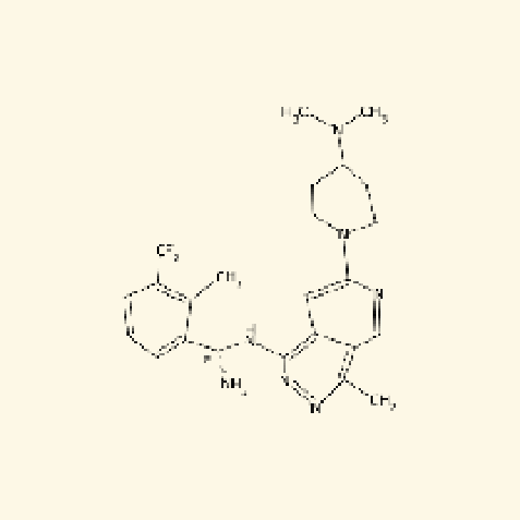 Cc1c([C@@H](N)Nc2nnc(C)c3cnc(N4CCC(N(C)C)CC4)cc23)cccc1C(F)(F)F